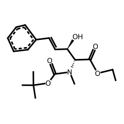 CCOC(=O)[C@@H]([C@H](O)/C=C/c1ccccc1)N(C)C(=O)OC(C)(C)C